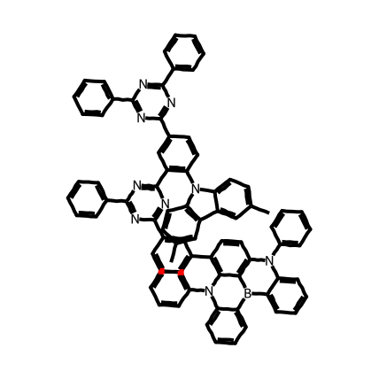 Cc1ccc2c(c1)c1cc(C)ccc1n2-c1ccc(-c2nc(-c3ccccc3)nc(-c3ccccc3)n2)cc1-c1nc(-c2ccccc2)nc(-c2cccc(-c3ccc4c5c3N(c3ccccc3)c3ccccc3B5c3ccccc3N4c3ccccc3)c2)n1